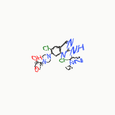 O[C@@H]1COC[C@@H]1N1CCN(c2cc3nc(Nc4cnn(C56CC(C5)C6)c4Cl)ncc3cc2Cl)CC1